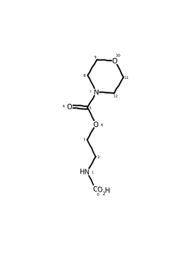 O=C(O)NCCOC(=O)N1CCOCC1